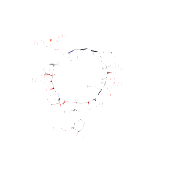 CO[C@@H]1C[C@H](C[C@@H](C)[C@@H]2CC(=O)[C@H](C)/C=C(\C)[C@@H](O)[C@@H](OC)C(=O)[C@H](C)C[C@H](C)/C=C/C=C/C=C(\C)C(OCP(=O)(CO)CO)C[C@@H]3CC[C@@H](C)[C@@](O)(O3)C(=O)C(=O)N3CCCC[C@H]3C(=O)O2)CC[C@H]1O